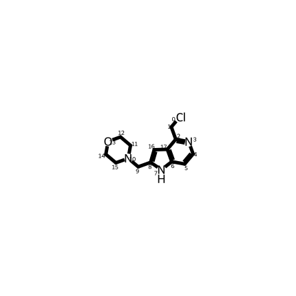 ClCc1nccc2[nH]c(CN3CCOCC3)cc12